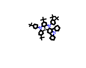 CC(C)(C)c1ccc(N2c3ccc(C(C)(C)C)cc3B3c4cc5c6ccccc6n6c7ccccc7c(c4N(c4ccc7c(c4)C(C)(C)CC7(C)C)c4cc(C(C)(C)C)cc2c43)c56)cc1